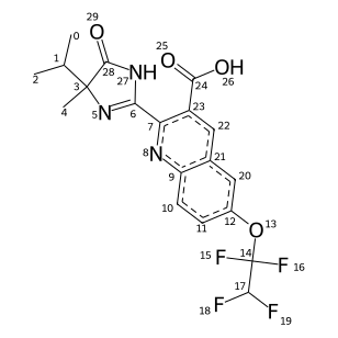 CC(C)C1(C)N=C(c2nc3ccc(OC(F)(F)C(F)F)cc3cc2C(=O)O)NC1=O